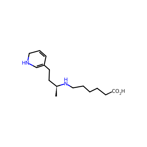 C[C@@H](CCC1=CNCC=C1)NCCCCCC(=O)O